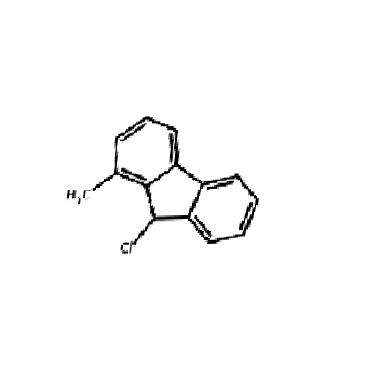 Cc1cccc2c1C(Cl)c1ccccc1-2